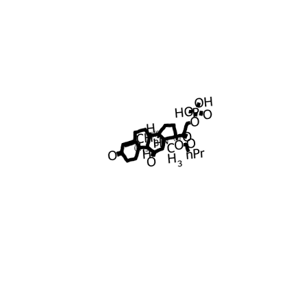 CCCC(=O)O[C@]1(C(=O)COP(=O)(O)O)CC[C@H]2[C@@H]3CCC4=CC(=O)CC[C@]4(C)[C@H]3C(=O)C[C@@]21C